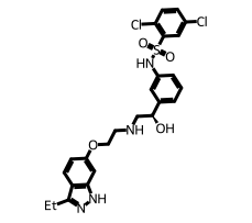 CCc1n[nH]c2cc(OCCNC[C@H](O)c3cccc(NS(=O)(=O)c4cc(Cl)ccc4Cl)c3)ccc12